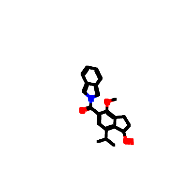 COc1c(C(=O)n2cc3ccccc3c2)cc(C(C)C)c2c1CCC2O